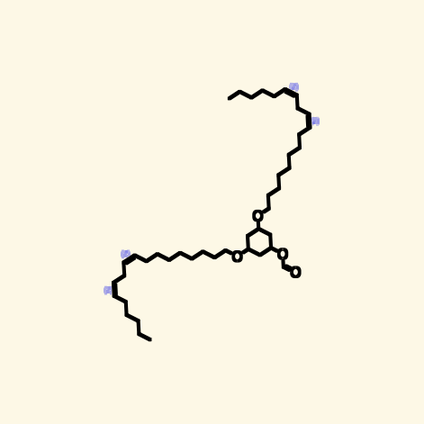 CCCCC/C=C\C/C=C\CCCCCCCCOC1CC(OC=O)CC(OCCCCCCCC/C=C\C/C=C\CCCCC)C1